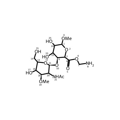 COC1OC(C(=O)OCN)[C@@H](O[C@@H]2OC(CO)C(O)[C@H](OC)C2NC(C)=O)C(O)C1O